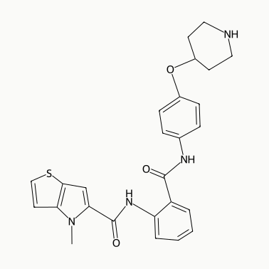 Cn1c(C(=O)Nc2ccccc2C(=O)Nc2ccc(OC3CCNCC3)cc2)cc2sccc21